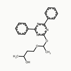 CC(O)CCOC(C)Oc1nc(-c2ccccc2)nc(-c2ccccc2)n1